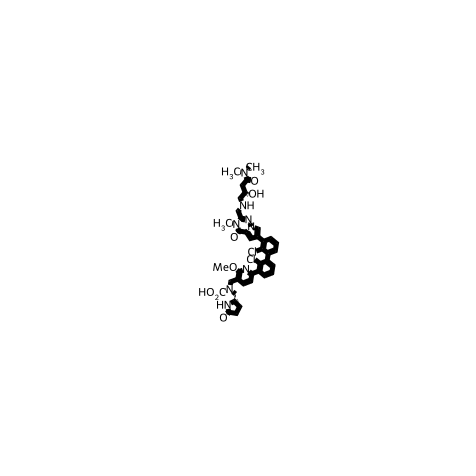 COc1nc(-c2cccc(-c3cccc(-c4cc5c(=O)n(C)c(CNC[C@@H](O)CC(=O)N(C)C)nn5c4)c3Cl)c2Cl)ccc1CN(C[C@@H]1CCC(=O)N1)C(=O)O